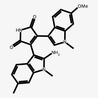 COc1ccc2c(C3=C(c4c(N)n(C)c5cc(C)ccc45)C(=O)NC3=O)cn(C)c2c1